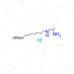 CCCCCCCCCCCCCCCCNCC(C)N.F.F